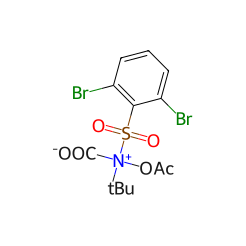 CC(=O)O[N+](C(=O)[O-])(C(C)(C)C)S(=O)(=O)c1c(Br)cccc1Br